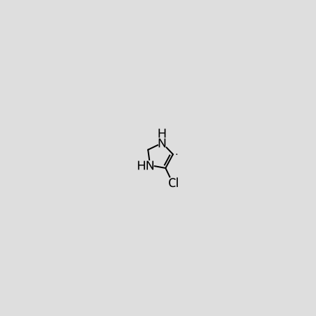 ClC1=[C]NCN1